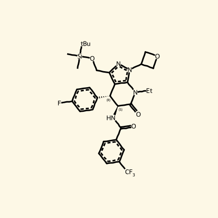 CCN1C(=O)[C@@H](NC(=O)c2cccc(C(F)(F)F)c2)[C@H](c2ccc(F)cc2)c2c(CO[Si](C)(C)C(C)(C)C)nn(C3COC3)c21